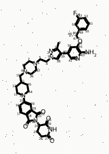 Cc1nn(CCN2CCN(CC3CCN(c4ccc5c(c4)C(=O)N(C4CCC(=O)NC4=O)C5=O)CC3)CC2)cc1-c1cnc(N)c(O[C@H](C)c2cccc(F)c2)c1